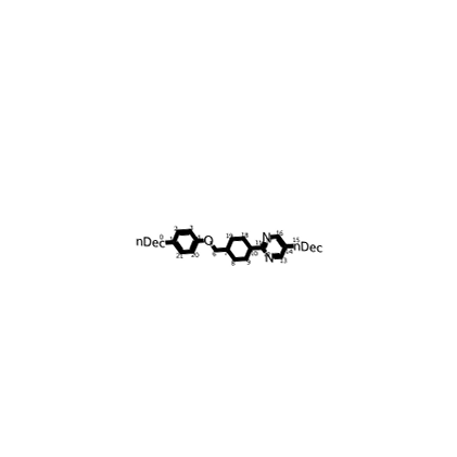 CCCCCCCCCCc1ccc(OCC2CCC(c3ncc(CCCCCCCCCC)cn3)CC2)cc1